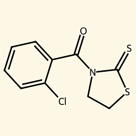 O=C(c1ccccc1Cl)N1CCSC1=S